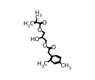 C=C(C)C(=O)OCC(O)COC(=O)Cc1ccc(C)cc1C